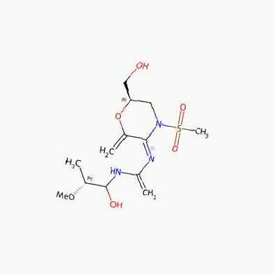 C=C(/N=C1\C(=C)O[C@@H](CO)CN1S(C)(=O)=O)NC(O)[C@@H](C)OC